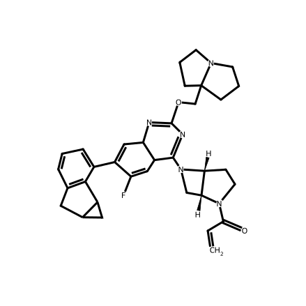 C=CC(=O)N1CC[C@@H]2[C@H]1CN2C1=NC(OCC23CCCN2CCC3)=NC2C=C(c3cccc4c3C3CC3C4)C(F)=CC12